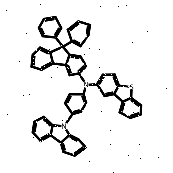 c1ccc(C2(c3ccccc3)c3ccccc3-c3cc(N(c4ccc(-n5c6ccccc6c6ccccc65)cc4)c4ccc5sc6ccccc6c5c4)ccc32)cc1